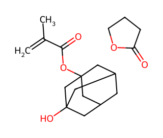 C=C(C)C(=O)OC12CC3CC(CC(O)(C3)C1)C2.O=C1CCCO1